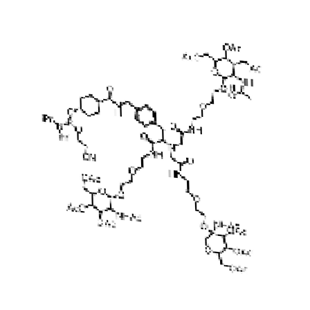 CC(=O)CC1C(NC(C)O)C(OCCOCCNC(=O)CN(CC(=O)NCCOCCOC2(NC(C)=O)COC(COC(C)=O)C(OC(C)=O)C2OC(C)=O)C(Cc2ccc(CNC(=O)[C@H]3CC[C@@H](OP(OCCC#N)N(C(C)C)C(C)C)CC3)cc2)C(=O)NCCOCCOC2OC(COC(C)=O)C(OC(C)=O)C(OC(C)=O)C2NC(C)=O)OC(COC(C)=O)C1OC(C)=O